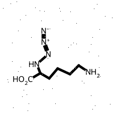 [N-]=[N+]=NNC(CCCCN)C(=O)O